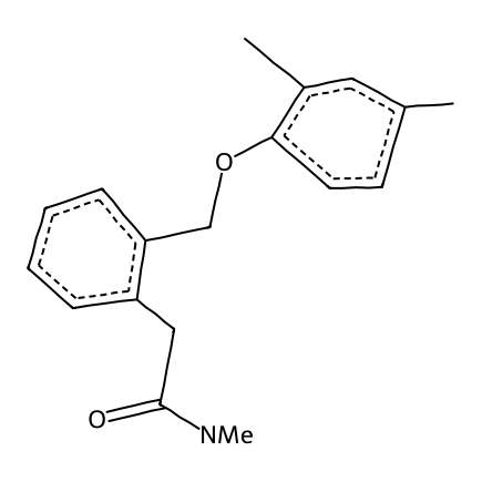 CNC(=O)Cc1ccccc1COc1ccc(C)cc1C